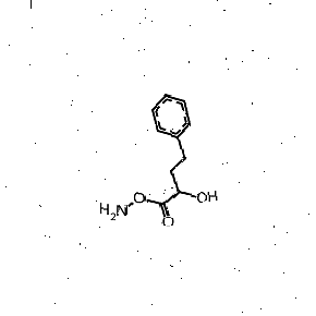 NOC(=O)C(O)CCc1ccccc1